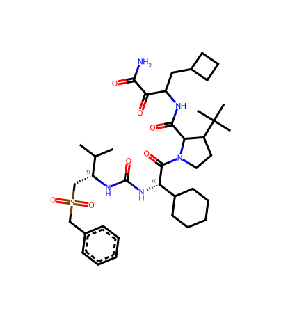 CC(C)[C@@H](CS(=O)(=O)Cc1ccccc1)NC(=O)N[C@H](C(=O)N1CCC(C(C)(C)C)C1C(=O)NC(CC1CCC1)C(=O)C(N)=O)C1CCCCC1